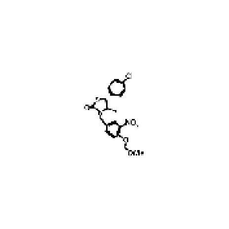 COCOc1ccc(CN2C(=O)S[C@H](c3ccc(Cl)cc3)[C@H]2C)cc1[N+](=O)[O-]